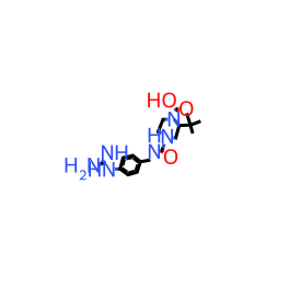 CC(C)(C)C1CN(C(=O)NCc2ccc(NC(=N)N)cc2)CCN1C(=O)O